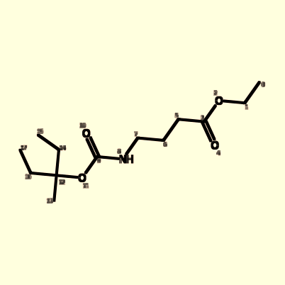 CCOC(=O)CCCNC(=O)OC(C)(CC)CC